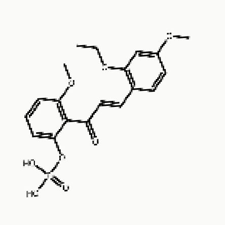 CCOc1cc(OC)ccc1C=CC(=O)c1c(OC)cccc1OP(=O)(O)O